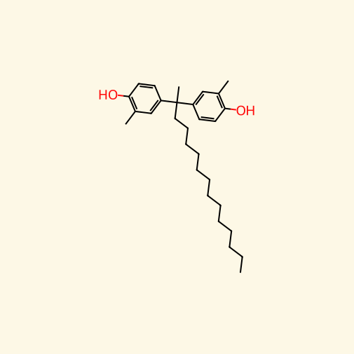 CCCCCCCCCCCCCC(C)(c1ccc(O)c(C)c1)c1ccc(O)c(C)c1